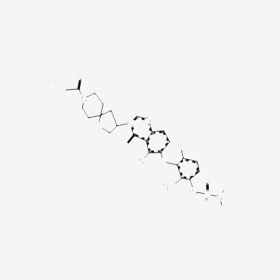 CCN(C)S(=O)(=O)Nc1ccc(F)c(Oc2ccc3ncn(C4COC5(CCN(C(=O)OC(C)(C)C)CC5)C4)c(=O)c3c2N)c1C#N